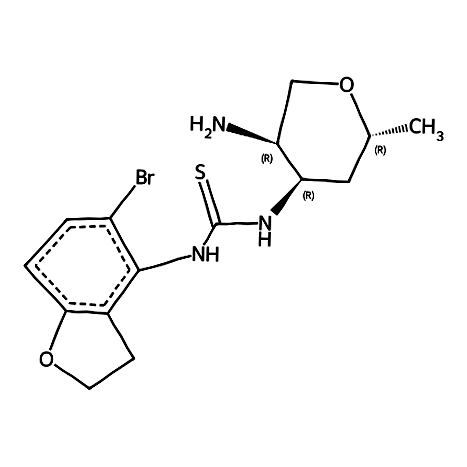 C[C@@H]1C[C@@H](NC(=S)Nc2c(Br)ccc3c2CCO3)[C@@H](N)CO1